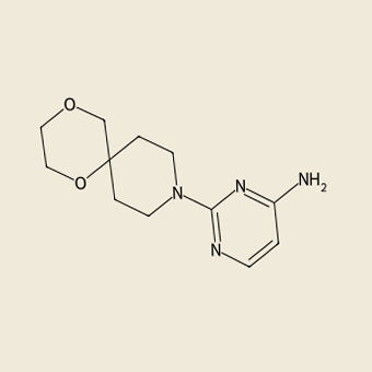 Nc1ccnc(N2CCC3(CC2)COCCO3)n1